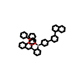 c1ccc(-c2ccc(N(c3ccc(-c4cccc(-c5cccc6ccccc56)c4)cc3)c3ccccc3-c3cc4ccccc4c4c3oc3ccccc34)cc2)cc1